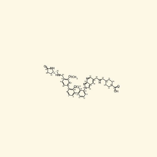 COc1nc(-c2cccc(-c3cccc(-n4cc5cc(CNCC6CCC(C(=O)O)CC6)cnc5n4)c3Cl)c2Cl)ccc1CNC[C@@H]1CCC(=O)N1